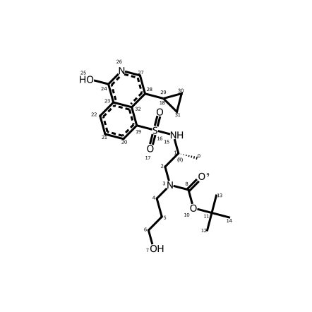 C[C@H](CN(CCCO)C(=O)OC(C)(C)C)NS(=O)(=O)c1cccc2c(O)ncc(C3CC3)c12